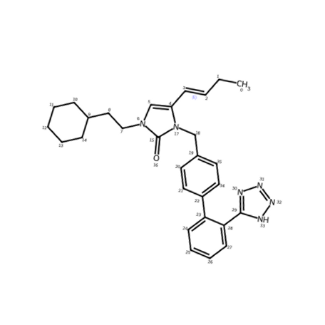 CC/C=C/c1cn(CCC2CCCCC2)c(=O)n1Cc1ccc(-c2ccccc2-c2nnn[nH]2)cc1